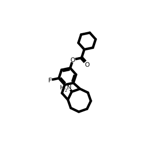 NC1C2CCCCCC1c1cc(OC(=O)C3CCCCC3)cc(F)c1C2